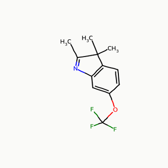 CC1=Nc2cc(OC(F)(F)F)ccc2C1(C)C